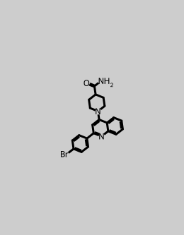 NC(=O)C1CCN(c2cc(-c3ccc(Br)cc3)nc3ccccc23)CC1